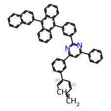 C=C/C=C\C(=C/C)c1cccc(-c2cc(-c3ccccc3)nc(-c3cccc(-c4c5ccccc5c(-c5ccc6ccccc6c5)c5ccccc45)c3)n2)c1